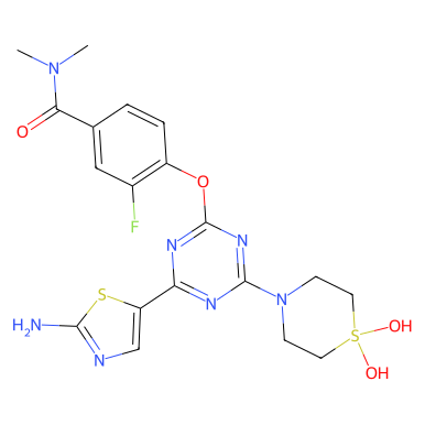 CN(C)C(=O)c1ccc(Oc2nc(-c3cnc(N)s3)nc(N3CCS(O)(O)CC3)n2)c(F)c1